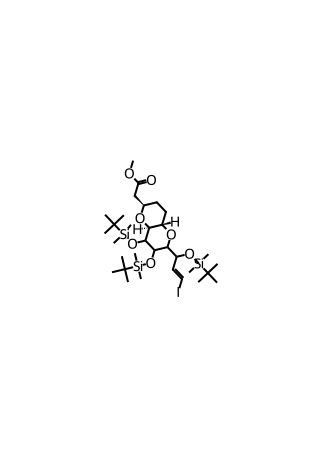 COC(=O)C[C@H]1CC[C@@H]2OC(C(/C=C/I)O[Si](C)(C)C(C)(C)C)C(O[Si](C)(C)C(C)(C)C)C(O[Si](C)(C)C(C)(C)C)[C@H]2O1